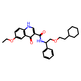 CCOc1ccc2[nH]cc(C(=O)NC(COCCC3CCCCC3)c3ccccc3)c(=O)c2c1